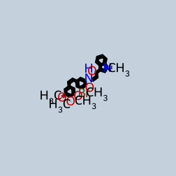 COc1cc(/C=C\c2cc(Br)c(OC)c(N/C=C\C(=O)c3cn(C)c4ccccc34)c2)cc(OC)c1OC